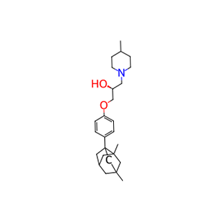 CC1CCN(C[C@H](O)COc2ccc(C34CC5CC(C)(CC3(C)C5)C4)cc2)CC1